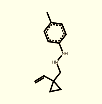 C=CC1(CNNc2ccc(C)cc2)CC1